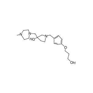 CN1CCN(CC2(O)CCN(Cc3ccc(OCCCO)cc3)C2)CC1